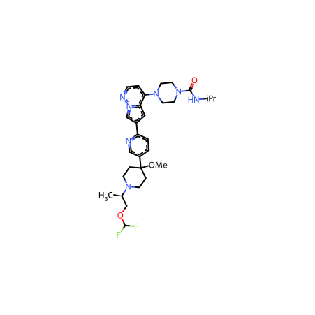 COC1(c2ccc(-c3cc4c(N5CCN(C(=O)NC(C)C)CC5)ccnn4c3)nc2)CCN([C@H](C)COC(F)F)CC1